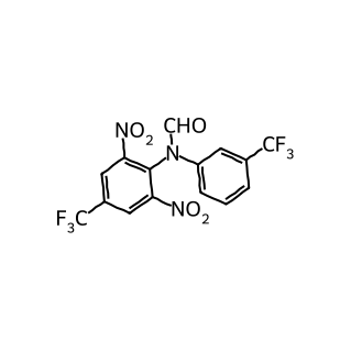 O=CN(c1cccc(C(F)(F)F)c1)c1c([N+](=O)[O-])cc(C(F)(F)F)cc1[N+](=O)[O-]